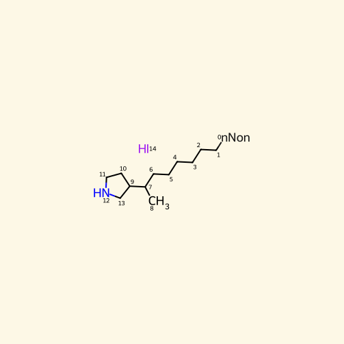 CCCCCCCCCCCCCCCC(C)C1CCNC1.I